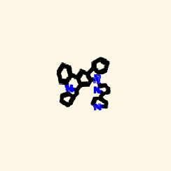 c1cc(-c2ccncc2)nc(-n2c3ccccc3c3cc4c5ccccc5n5c6ccccc6cc5c4cc32)c1